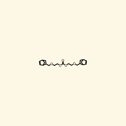 O=C(OCCOCC1CC2C=CC1C2)OCCOCC1CC2C=CC1C2